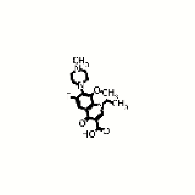 CCn1cc(C(=O)O)c(=O)c2cc(F)c(N3CCN(C)CC3)c(OC)c21